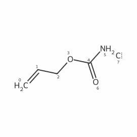 C=CCOC(N)=O.[C]